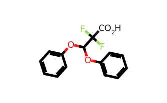 O=C(O)C(F)(F)C(Oc1ccccc1)Oc1ccccc1